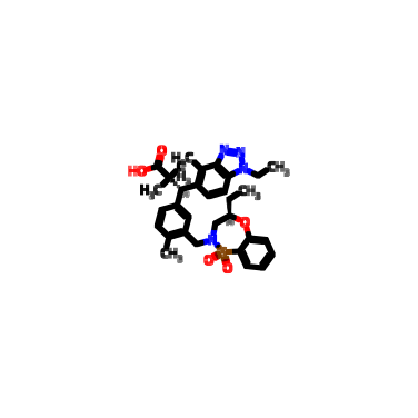 CC[C@@H]1CN(Cc2cc([C@@H](c3ccc4c(nnn4CC)c3C)C(C)(C)C(=O)O)ccc2C)S(=O)(=O)c2ccccc2O1